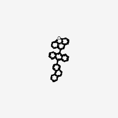 c1ccc2c(c1)ccc1cc(-c3c4ccccc4c(-c4cc5cccc6oc7cccc4c7c56)c4ccccc34)ccc12